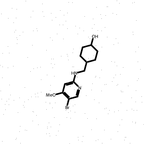 COc1cc(NCC2CCC(O)CC2)ncc1Br